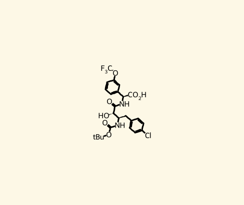 CC(C)(C)OC(=O)N[C@H](Cc1ccc(Cl)cc1)[C@H](O)C(=O)N[C@H](C(=O)O)c1cccc(OC(F)(F)F)c1